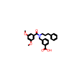 COc1cc(OC)cc(C(=O)N(CCCc2ccccc2)Cc2cccc(C(=O)O)c2)c1